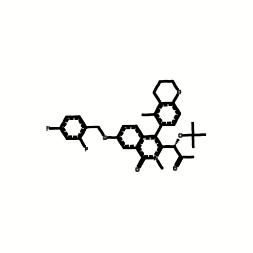 CC(=O)[C@@H](OC(C)(C)C)c1c(-c2ccc3c(c2C)CCCO3)c2ccc(OCc3ccc(F)cc3F)cc2c(=O)n1C